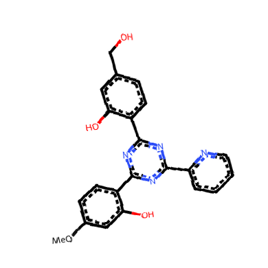 COc1ccc(-c2nc(-c3ccccn3)nc(-c3ccc(CO)cc3O)n2)c(O)c1